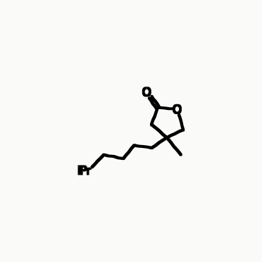 CC(C)CCCCC1(C)COC(=O)C1